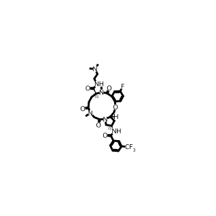 CN(C)CCNC(=O)[C@@H]1CCC(=O)N(C)CC(=O)N2C[C@@H](NC(=O)c3cccc(C(F)(F)F)c3)C[C@H]2COc2ccc(F)cc2C(=O)N1C